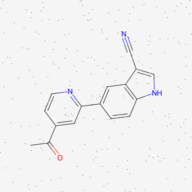 CC(=O)c1ccnc(-c2ccc3[nH]cc(C#N)c3c2)c1